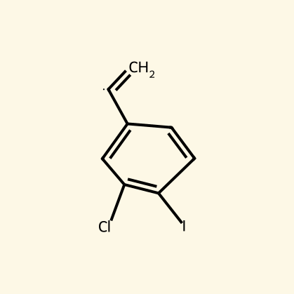 C=[C]c1ccc(I)c(Cl)c1